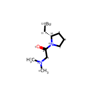 CN(C)CC(=O)N1CCC[C@H]1CC(C)(C)C